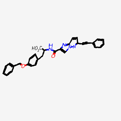 O=C(NC(Cc1ccc(OCc2ccccc2)cc1)C(=O)O)c1cn2nc(C#Cc3ccccc3)ccc2n1